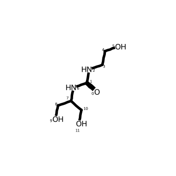 O=C(NCCO)NC(CO)CO